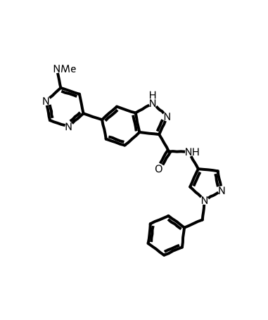 CNc1cc(-c2ccc3c(C(=O)Nc4cnn(Cc5ccccc5)c4)n[nH]c3c2)ncn1